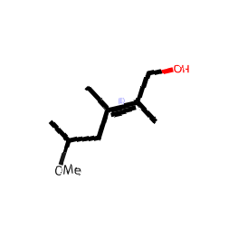 COC(C)C/C(C)=C(\C)CO